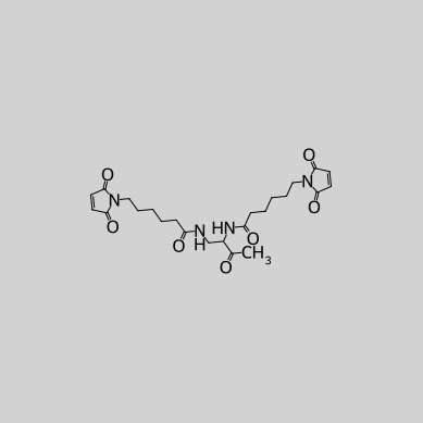 CC(=O)C(CNC(=O)CCCCCN1C(=O)C=CC1=O)NC(=O)CCCCCN1C(=O)C=CC1=O